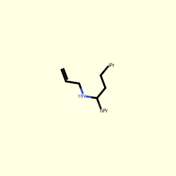 C=CCNC(CCC)CCC(C)C